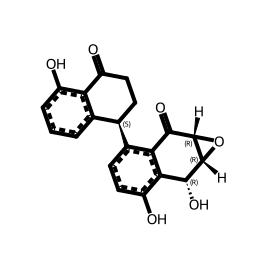 O=C1CC[C@@H](c2ccc(O)c3c2C(=O)[C@@H]2O[C@@H]2[C@@H]3O)c2cccc(O)c21